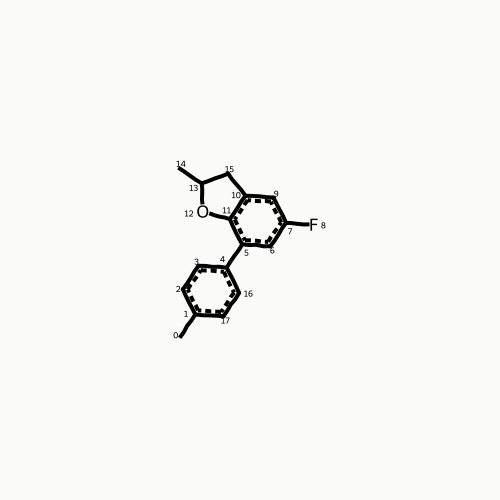 Cc1ccc(-c2cc(F)cc3c2OC(C)C3)cc1